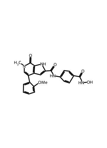 COc1ccccc1-c1cn(C)c(=O)c2[nH]c(C(=O)Nc3ccc(C(=O)NO)cc3)cc12